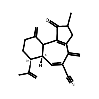 C=C1C(C#N)=C[C@H]2C(C(=C)CC[C@@H]2C(=C)C)C2=C1CC(C)C2=O